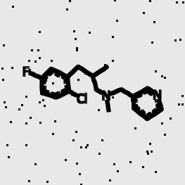 CC(Cc1cc(F)ccc1Cl)CN(C)Cc1cccnc1